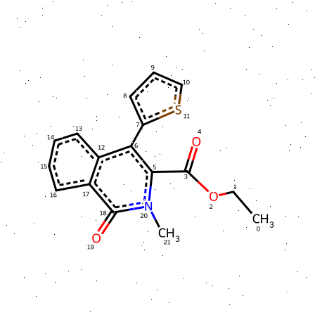 CCOC(=O)c1c(-c2cccs2)c2ccccc2c(=O)n1C